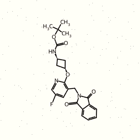 CC(C)(C)OC(=O)N[C@H]1C[C@@H](Oc2ncc(F)cc2CN2C(=O)c3ccccc3C2=O)C1